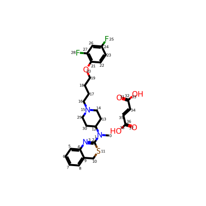 CN(C1=Nc2ccccc2CS1)C1CCN(CCCCOc2ccc(F)cc2F)CC1.O=C(O)/C=C/C(=O)O